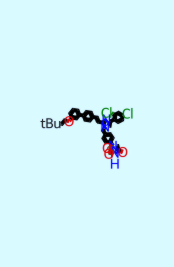 CC(C)(C)CCOc1cccc(-c2ccc(C=Cc3nc(-c4ccc(Cl)cc4Cl)cn3Cc3ccc(N4CC(=O)NS4(=O)=O)cc3)cc2)c1